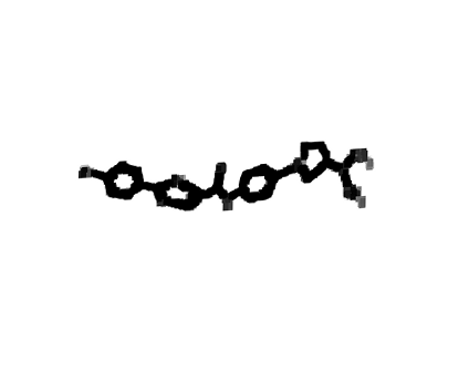 CC(C)c1ccc(-c2nc(C(=O)Nc3ccc(N4CCC(N(C)C)C4)cc3)cs2)cc1